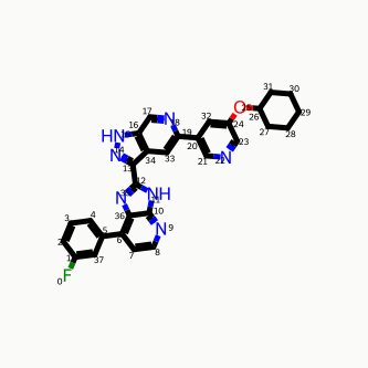 Fc1cccc(-c2ccnc3[nH]c(-c4n[nH]c5cnc(-c6cncc(OC7CCCCC7)c6)cc45)nc23)c1